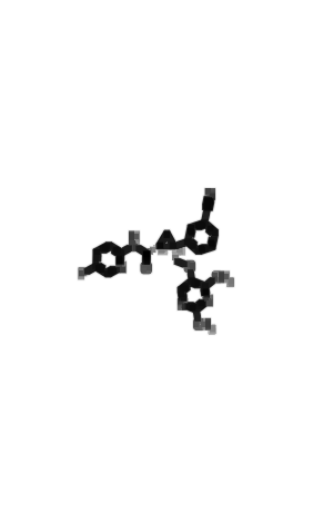 Cc1ncc(OC[C@@]2(c3cccc(C#N)c3)C[C@H]2C(=O)Nc2ccc(F)cn2)c(C)n1